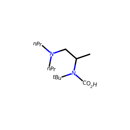 CCCN(CCC)CC(C)N(C(=O)O)C(C)(C)C